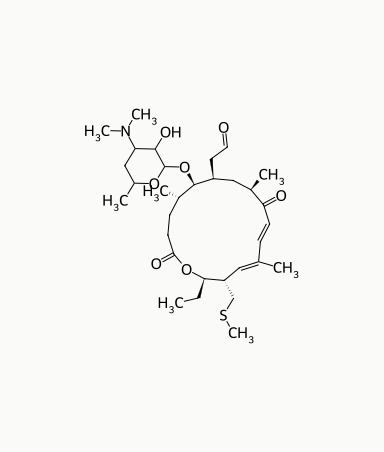 CC[C@H]1OC(=O)CC[C@H](C)[C@@H](OC2OC(C)CC(N(C)C)C2O)[C@@H](CC=O)C[C@@H](C)C(=O)/C=C/C(C)=C/[C@@H]1CSC